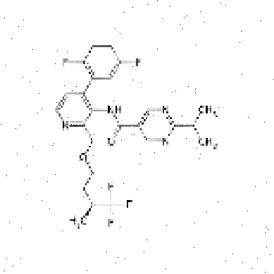 CC(C)c1ncc(C(=O)Nc2c(-c3cc(F)ccc3F)ccnc2COCC[C@H](C)C(F)(F)F)cn1